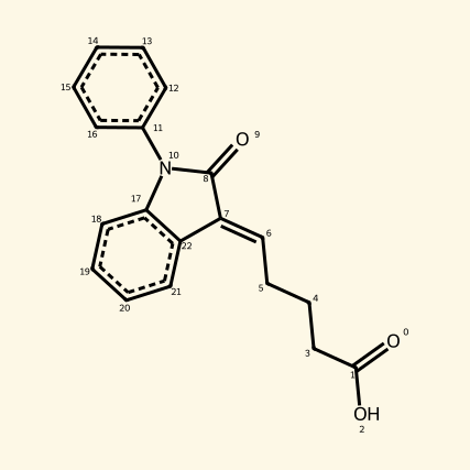 O=C(O)CCC/C=C1/C(=O)N(c2ccccc2)c2ccccc21